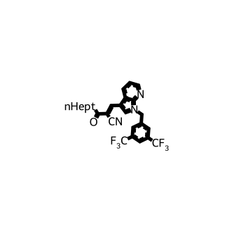 CCCCCCCC(=O)/C(C#N)=C/c1cn(Cc2cc(C(F)(F)F)cc(C(F)(F)F)c2)c2ncccc12